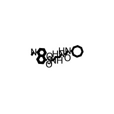 CN(C)c1cccc2c(S(=O)(=O)NCCNC(=O)NC3CCCCCCC3)cccc12